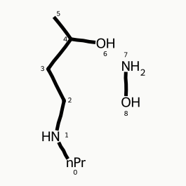 CCCNCCC(C)O.NO